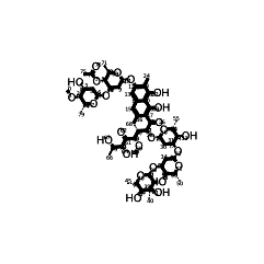 CO[C@H]1[C@H](O)C[C@@H](O[C@@H]2C[C@H](Oc3cc4cc5c(c(O)c4c(O)c3C)C(=O)[C@@H](O[C@H]3C[C@H](O[C@H]4C[C@H](O[C@H]6C[C@@](C)(O)[C@@H](O)[C@H](C)O6)[C@H](O)[C@@H](C)O4)[C@H](O)[C@@H](C)O3)[C@H]([C@H](OC)C(=O)[C@@H](O)[C@@H](C)O)C5)O[C@H](C)[C@H]2OC(C)=O)O[C@@H]1C